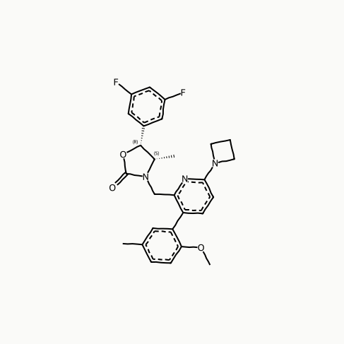 COc1ccc(C)cc1-c1ccc(N2CCC2)nc1CN1C(=O)O[C@H](c2cc(F)cc(F)c2)[C@@H]1C